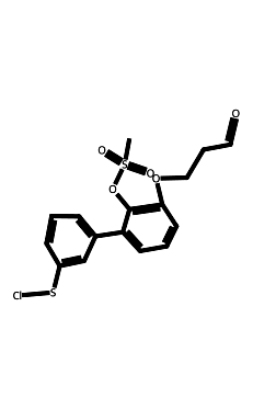 CS(=O)(=O)Oc1c(OCCC=O)cccc1-c1cccc(SCl)c1